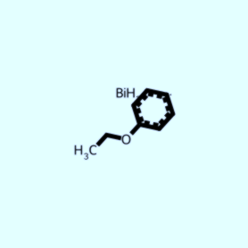 CCOc1cc[c]cc1.[BiH3]